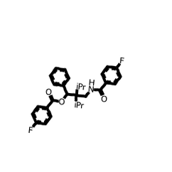 CC(C)C(CNC(=O)c1ccc(F)cc1)(C(C)C)C(OC(=O)c1ccc(F)cc1)c1ccccc1